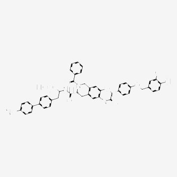 N#Cc1ccc(-c2ccc(CC(NC(=O)[C@@H]3Cc4cc5c(cc4CN3C(=O)c3ccccc3)O[C@@H](c3ccc(OCc4ccc(Cl)c(C(F)(F)F)c4)cc3)C(=O)N5)C(=O)O)cc2)cc1